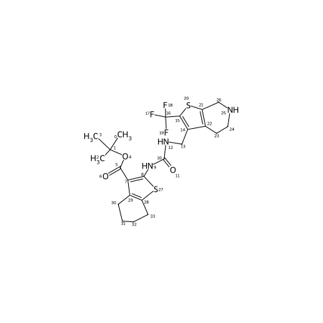 CC(C)(C)OC(=O)c1c(NC(=O)NCc2c(C(F)(F)F)sc3c2CCNC3)sc2c1CCCC2